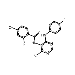 O=C(Nc1c(Cl)ncnc1Nc1ccc(Cl)cc1)c1ccc(Cl)cc1F